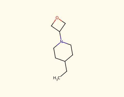 CCC1CCN(C2COC2)CC1